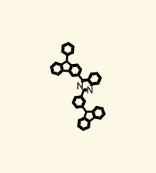 c1ccc(C2c3ccccc3-c3cc(-c4nc(-c5cccc(C6c7ccccc7-c7ccccc76)c5)nc5ccccc45)ccc32)cc1